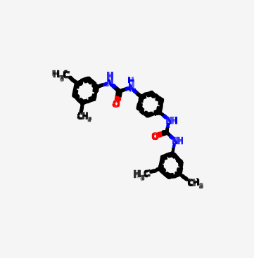 Cc1cc(C)cc(NC(=O)Nc2ccc(NC(=O)Nc3cc(C)cc(C)c3)cc2)c1